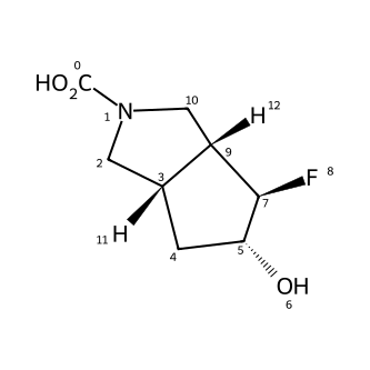 O=C(O)N1C[C@H]2C[C@@H](O)[C@H](F)[C@H]2C1